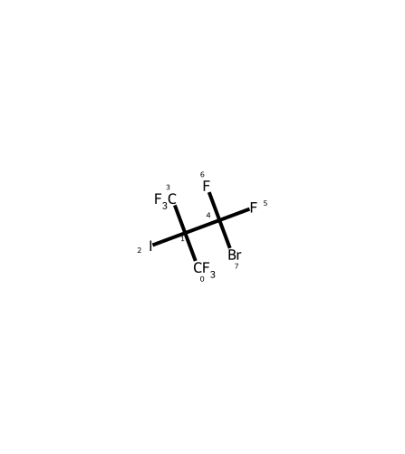 FC(F)(F)C(I)(C(F)(F)F)C(F)(F)Br